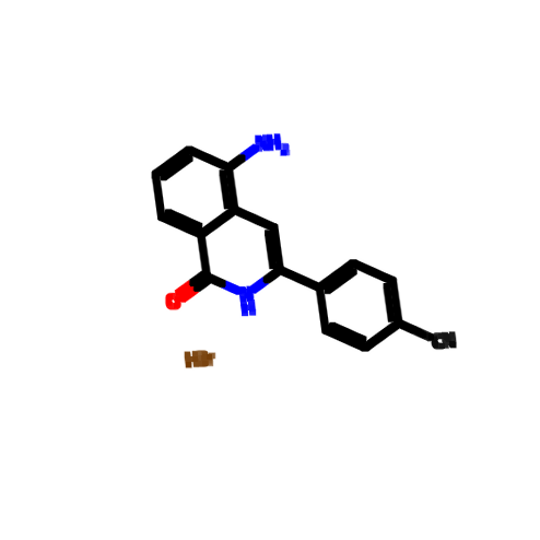 Br.N#Cc1ccc(-c2cc3c(N)cccc3c(=O)[nH]2)cc1